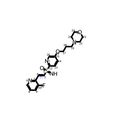 N=S(=O)(/C=C/c1ncccc1F)c1ccc(OCCCN2CCOCC2)cn1